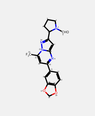 O=CN1CCCC1c1cc2nc(-c3ccc4c(c3)OCO4)cc(C(F)(F)F)n2n1